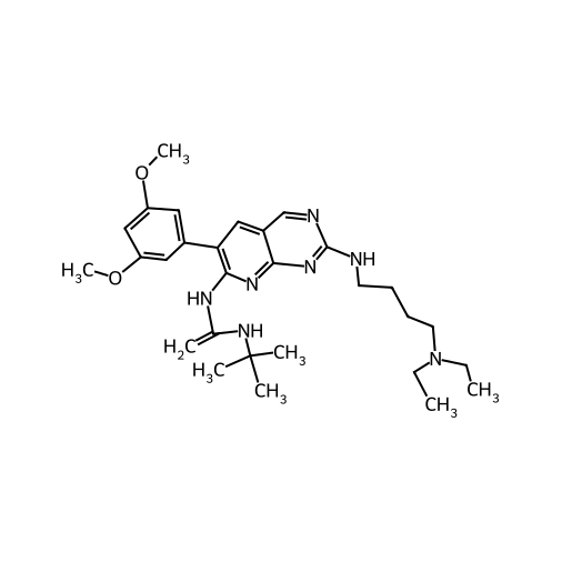 C=C(Nc1nc2nc(NCCCCN(CC)CC)ncc2cc1-c1cc(OC)cc(OC)c1)NC(C)(C)C